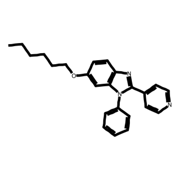 CCCCCCOc1ccc2nc(-c3ccncc3)n(-c3ccccc3)c2c1